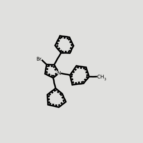 Cc1ccc(-n2c(-c3ccccc3)cc(Br)c2-c2ccccc2)cc1